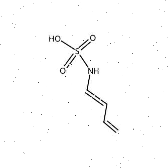 C=CC=CNS(=O)(=O)O